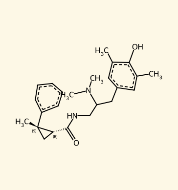 Cc1cc(CC(CNC(=O)[C@@H]2C[C@]2(C)c2ccccc2)N(C)C)cc(C)c1O